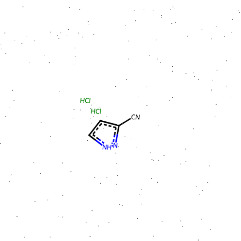 Cl.Cl.N#Cc1cc[nH]n1